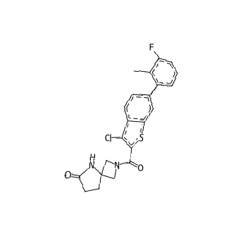 Cc1c(F)cccc1-c1ccc2c(Cl)c(C(=O)N3CC4(CCC(=O)N4)C3)sc2c1